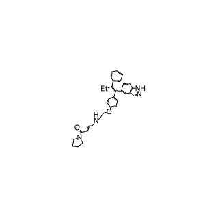 CCC(=C(c1ccc(OCCNCC=CC(=O)N2CCCC2)cc1)c1ccc2[nH]ncc2c1)c1ccccc1